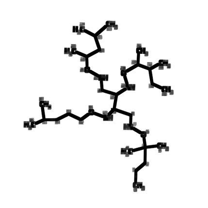 CCCC(C)(C)ONC[C](NOCCCC(C)C)C(CNOC(C)CC(C)C)NOC(C)C(C)CC